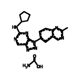 Cc1ncc2cc(-n3nnc4cnc(NC5CCCC5)nc43)ccc2n1.NC(=O)O